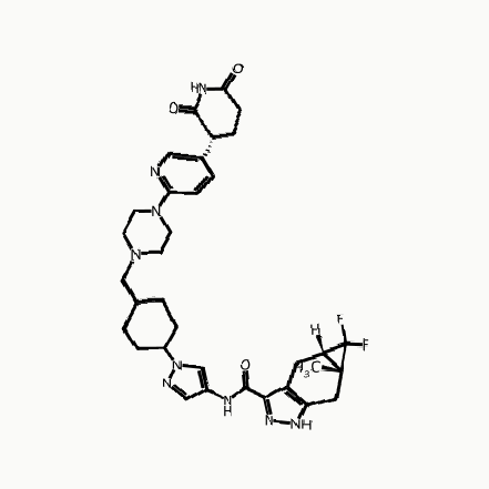 C[C@@]12Cc3[nH]nc(C(=O)Nc4cnn(C5CCC(CN6CCN(c7ccc([C@H]8CCC(=O)NC8=O)cn7)CC6)CC5)c4)c3C[C@@H]1C2(F)F